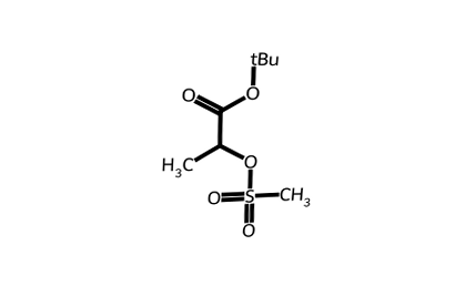 CC(OS(C)(=O)=O)C(=O)OC(C)(C)C